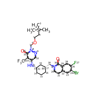 C[Si](C)(C)CCOCn1ncc(N[C@H]2CCC[C@@H](Cn3ccc4cc(Br)c(F)cc4c3=O)C2)c(C(F)(F)F)c1=O